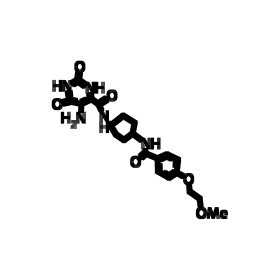 COCCOc1ccc(C(=O)NC2CCC(NC(=O)c3[nH]c(=O)[nH]c(=O)c3N)CC2)cc1